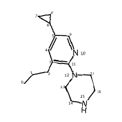 CCCc1cc(C2CC2)cnc1N1CCNCC1